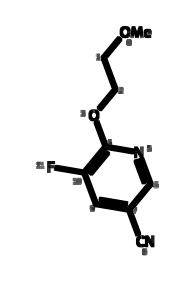 COCCOc1ncc(C#N)cc1F